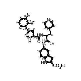 CCOC(=O)c1cc2cc(NC(=O)C(Cc3ccncc3)NC(=O)c3cc(-c4cccc(Cl)c4F)n[nH]3)ccc2[nH]1